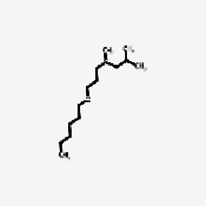 CCCCCCOCCCN(C)CC(C)C